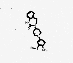 CCOc1cc(N2CCC(N3CCc4ccccc4NC3=O)CC2)ccc1N